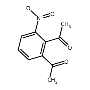 CC(=O)c1cccc([N+](=O)[O-])c1C(C)=O